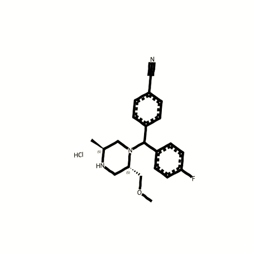 COC[C@@H]1CN[C@@H](C)CN1C(c1ccc(F)cc1)c1ccc(C#N)cc1.Cl